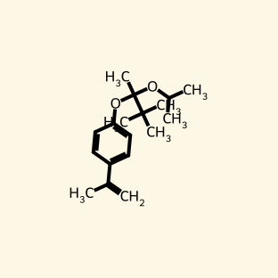 C=C(C)c1ccc(OC(C)(OC(C)C)C(C)(C)C)cc1